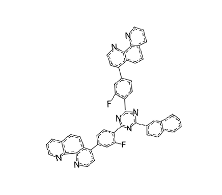 Fc1cc(-c2ccnc3c2ccc2cccnc23)ccc1-c1nc(-c2ccc3ccccc3c2)nc(-c2ccc(-c3ccnc4c3ccc3cccnc34)cc2F)n1